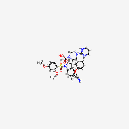 CCOc1ccccc1C1(C2CN(c3ncccn3)CCN2C(=O)O)C(=O)N(S(=O)(=O)c2ccc(OC)cc2OC)c2ccc(C#N)cc21